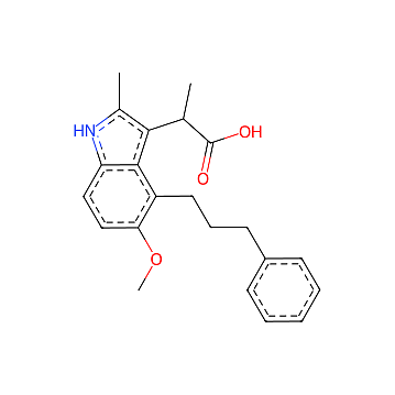 COc1ccc2[nH]c(C)c(C(C)C(=O)O)c2c1CCCc1ccccc1